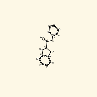 O=C(Cc1ccccc1)C1Cc2ccccc2C1